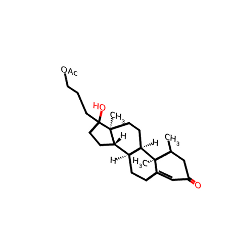 CC(=O)OCCCC1(O)CC[C@H]2[C@@H]3CCC4=CC(=O)CC(C)[C@]4(C)[C@@H]3CC[C@@]21C